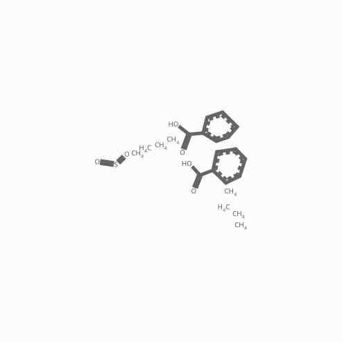 C.C.C.C.C.C.C.C.O=C(O)c1ccccc1.O=C(O)c1ccccc1.O=S=O